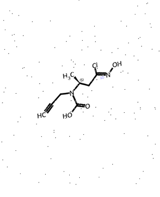 C#CCN(C(=O)O)[C@@H](C)C/C(Cl)=N/O